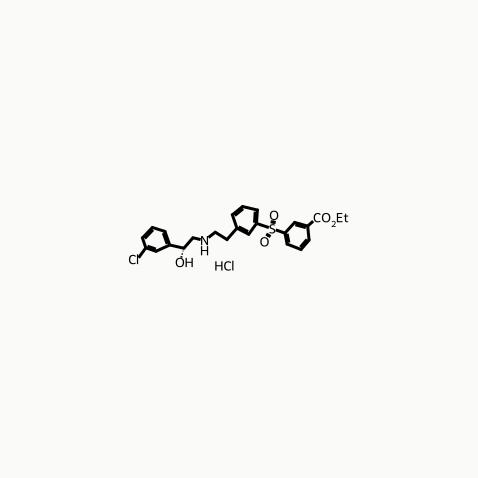 CCOC(=O)c1cccc(S(=O)(=O)c2cccc(CCNC[C@H](O)c3cccc(Cl)c3)c2)c1.Cl